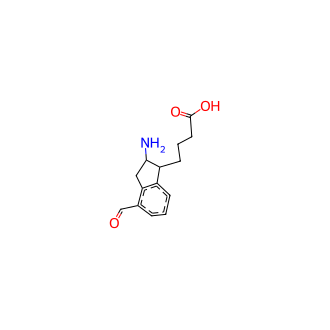 NC1Cc2c(C=O)cccc2C1CCCC(=O)O